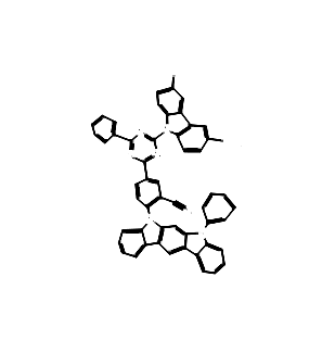 Cc1ccc2c(c1)c1cc(C)ccc1n2-c1nc(-c2ccccc2)nc(-c2ccc(-n3c4ccccc4c4cc5c6ccccc6n(-c6ccccc6)c5cc43)c(C#N)c2)n1